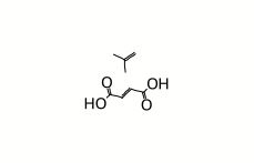 C=C(C)C.O=C(O)C=CC(=O)O